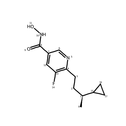 C[C@@H](CCc1ncc(C(=O)NO)cc1F)C1CC1